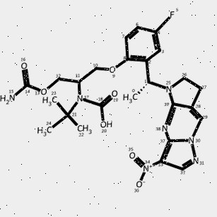 C[C@H](c1cc(F)ccc1OCC(COC(N)=O)N(C(=O)O)C(C)(C)C)N1CCc2cn3ncc([N+](=O)[O-])c3nc21